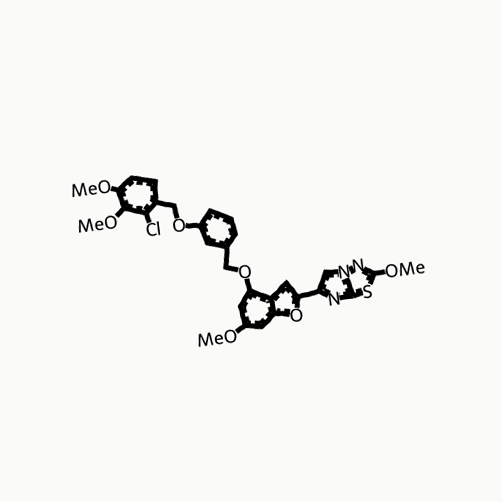 COc1cc(OCc2cccc(OCc3ccc(OC)c(OC)c3Cl)c2)c2cc(-c3cn4nc(OC)sc4n3)oc2c1